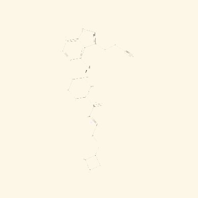 N#CCCc1c[nH]c2ncnc(N[C@@H]3CCCN(C(=O)/C=C/COC4CCC4)C3)c12